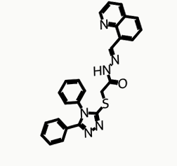 O=C(CSc1nnc(-c2ccccc2)n1-c1ccccc1)N/N=C/c1cccc2cccnc12